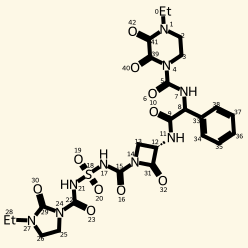 CCN1CCN(C(=O)NC(C(=O)N[C@H]2CN(C(=O)NS(=O)(=O)NC(=O)N3CCN(CC)C3=O)C2=O)c2ccccc2)C(=O)C1=O